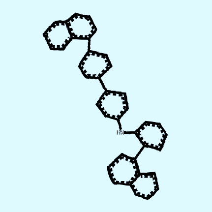 c1ccc(-c2cccc3ccccc23)c(Nc2ccc(-c3ccc(-c4cccc5ccccc45)cc3)cc2)c1